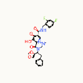 CN1CN(C(Cc2ccccc2)C2=COCO2)C(=O)c2c(O)c(=O)c(C(=O)NCc3ccc(F)cc3F)cn21